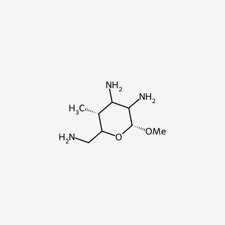 CO[C@@H]1OC(CN)[C@H](C)C(N)C1N